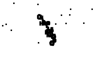 Nc1ncc(C=CC(=O)NCCCN2CCCCC2)c2scc(-c3ccc(Oc4ccccc4)cc3)c12